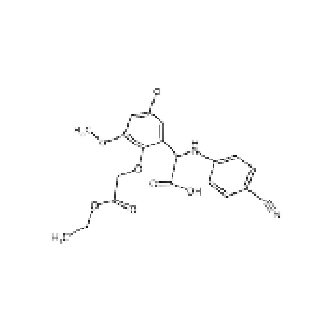 CCOC(=O)COc1c(OC)cc(Cl)cc1C(Nc1ccc(C#N)cc1)C(=O)O